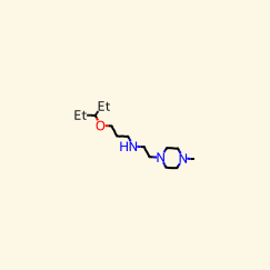 CCC(CC)OCCCNCCN1CCN(C)CC1